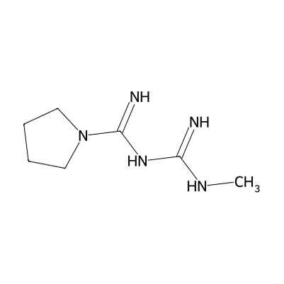 CNC(=N)NC(=N)N1CCCC1